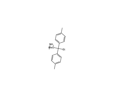 CCC(OC)(c1ccc(C)cc1)c1ccc(C)cc1.CN